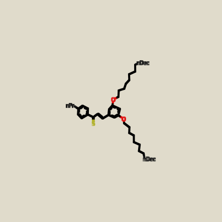 CCCCCCCCCCCCCCCCCCOc1cc(C=CC(=S)c2ccc(CCC)cc2)cc(OCCCCCCCCCCCCCCCCCC)c1